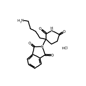 Cl.NCCCCC1(N2C(=O)c3ccccc3C2=O)CCC(=O)NC1=O